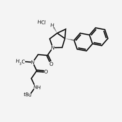 CN(CC(=O)N1C[C@H]2C[C@@]2(c2ccc3ccccc3c2)C1)C(=O)CNC(C)(C)C.Cl